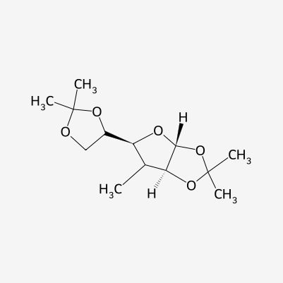 CC1[C@@H](C2COC(C)(C)O2)O[C@@H]2OC(C)(C)O[C@@H]12